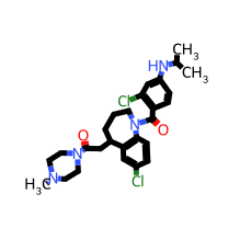 CC(C)Nc1ccc(C(=O)N2CCCC(CC(=O)N3CCN(C)CC3)c3cc(Cl)ccc32)c(Cl)c1